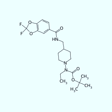 CCN(C(=O)OC(C)(C)C)N1CCC(CNC(=O)c2ccc3c(c2)OC(F)(F)O3)CC1